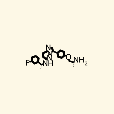 C[C@@H](N)COc1ccc(-c2cnc3ccc(N[C@H](C)c4cccc(F)c4)nn23)cc1